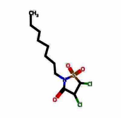 CCCCCCCCN1C(=O)C(Cl)C(Cl)S1(=O)=O